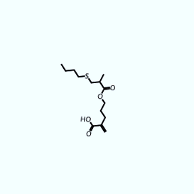 C=C(CCCOC(=O)C(C)CSCCCC)C(=O)O